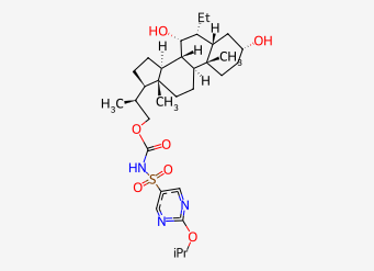 CC[C@H]1[C@@H](O)[C@@H]2[C@H](CC[C@]3(C)[C@@H]([C@H](C)COC(=O)NS(=O)(=O)c4cnc(OC(C)C)nc4)CC[C@@H]23)[C@@]2(C)CC[C@@H](O)C[C@@H]12